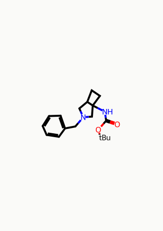 CC(C)(C)OC(=O)NC12CCC1CN(Cc1ccccc1)C2